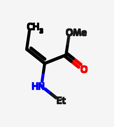 CC=C(NCC)C(=O)OC